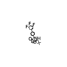 COC(=O)C(NC(=O)CC(C)(C)C)c1ccc(C2=CC(F)=C(F)C(F)C2)cc1